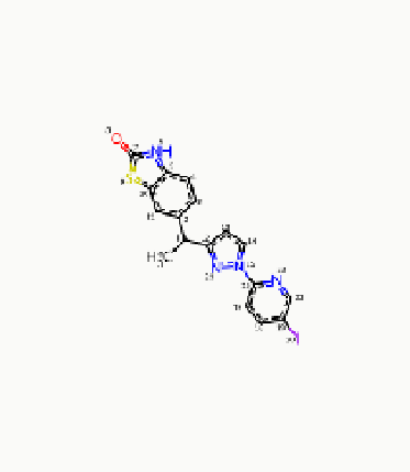 CC(c1ccc2[nH]c(=O)sc2c1)c1ccn(-c2ccc(I)cn2)n1